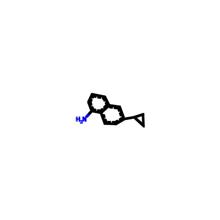 Nc1cccc2cc(C3CC3)ccc12